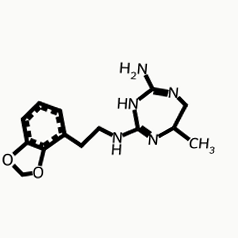 CC1CN=C(N)NC(NCCc2cccc3c2OCO3)=N1